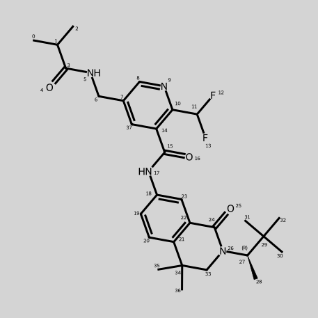 CC(C)C(=O)NCc1cnc(C(F)F)c(C(=O)Nc2ccc3c(c2)C(=O)N([C@H](C)C(C)(C)C)CC3(C)C)c1